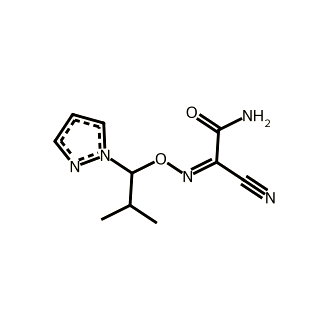 CC(C)C(ON=C(C#N)C(N)=O)n1cccn1